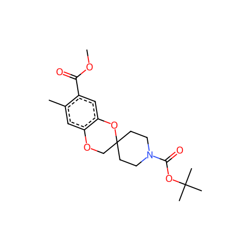 COC(=O)c1cc2c(cc1C)OCC1(CCN(C(=O)OC(C)(C)C)CC1)O2